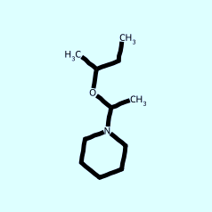 CCC(C)OC(C)N1CCCCC1